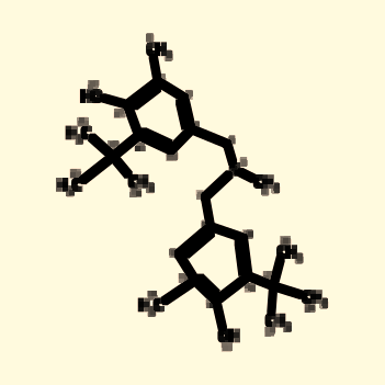 Cc1cc(CN(C)Cc2cc(C)c(O)c(C(C)(C)C)c2)cc(C(C)(C)C)c1O